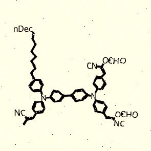 [C-]#[N+]/C(=C/c1ccc(N(c2ccc(/C=C(\[N+]#[C-])OC=O)cc2)c2ccc(-c3ccc(N(c4ccc(/C=C(/C)C#N)cc4)c4ccc(CCCCCCCCCCCCCCCCCC)cc4)cc3)cc2)cc1)OC=O